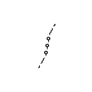 C=CC(=O)OCCCCCCOC(=O)c1ccc(OC(=O)c2ccc(OC(=O)c3ccc(OCCCCCCOC(=O)C=C)cc3)cc2)cc1